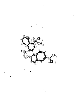 Cc1c(-c2c3ccc(C(C)C)cc3cc[n+]2C)cc(C(C)(C)C)c2ccccc12